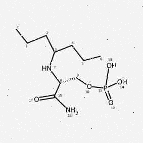 CCCC(CCC)N[C@H](COP(=O)(O)O)C(N)=O